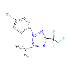 CC(C)c1nc(C(F)(F)F)nn1-c1ccc(Br)cc1